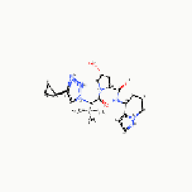 CC(C)(C)[C@@H](C(=O)N1C[C@H](O)C[C@H]1C(=O)NC1CCCn2nccc21)n1cc(C2CC2)nn1